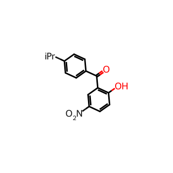 CC(C)c1ccc(C(=O)c2cc([N+](=O)[O-])ccc2O)cc1